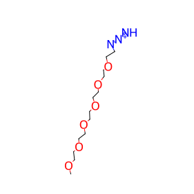 COCCOCCOCCOCCOCCOCCN=[N+]=N